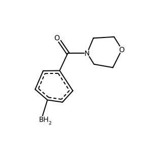 Bc1ccc(C(=O)N2CCOCC2)cc1